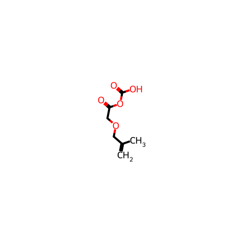 C=C(C)COCC(=O)OC(=O)O